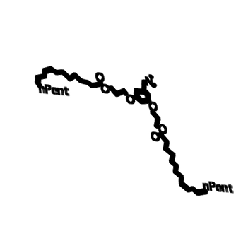 CCCCC/C=C\C/C=C\CCCCCCCC(=O)OCCCOc1cc(CN(C)C)cc(OCCCOC(=O)CCCCCCC/C=C\C/C=C\CCCCC)c1